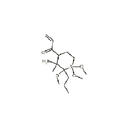 C=CC(=O)C1CC[Si](OC)(OC)C(CCC)(OC)C1(C)N